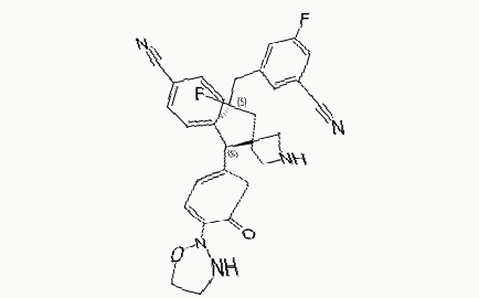 C[C@](F)(Cc1cc(F)cc(C#N)c1)CC1([C@@H](C2=CC=C(N3NCCO3)C(=O)C2)c2ccc(C#N)cc2)CNC1